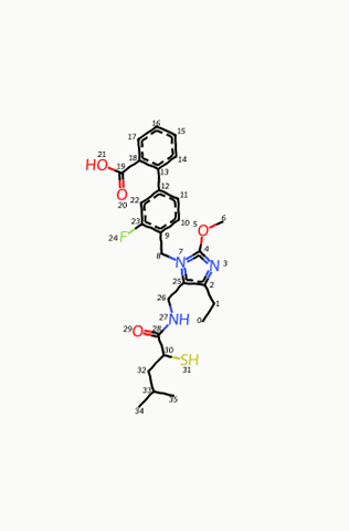 CCc1nc(OC)n(Cc2ccc(-c3ccccc3C(=O)O)cc2F)c1CNC(=O)C(S)CC(C)C